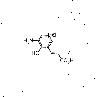 Cl.Nc1cccc(/C=C/C(=O)O)c1O